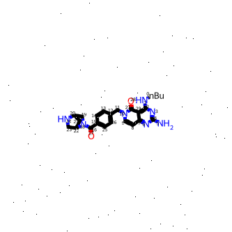 CCCCNc1nc(N)nc2ccn(Cc3ccc(C(=O)N4CC5CC4CN5)cc3)c(=O)c12